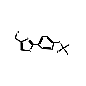 OCc1csc(-c2ccc(OC(F)(F)F)cc2)n1